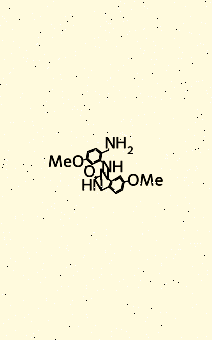 COc1ccc(CN)c(NN2C(=O)NCc3ccc(OC)cc32)c1